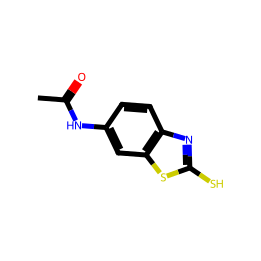 CC(=O)Nc1ccc2nc(S)sc2c1